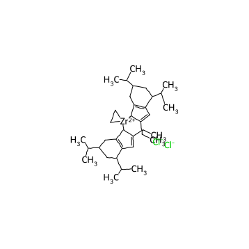 CCC1=CC2=C(CC(C(C)C)CC2C(C)C)[CH]1[Zr+2]1([CH]2C(CC)=CC3=C2CC(C(C)C)CC3C(C)C)[CH2][CH2]1.[Cl-].[Cl-]